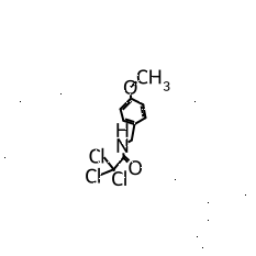 COc1ccc(CNC(=O)C(Cl)(Cl)Cl)cc1